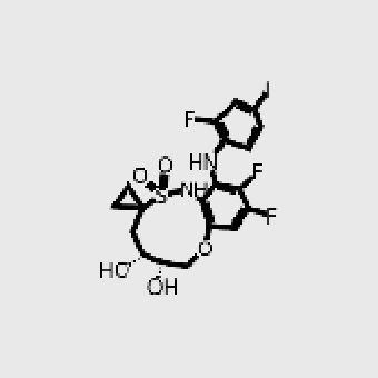 O=S1(=O)Nc2c(cc(F)c(F)c2Nc2ccc(I)cc2F)OC[C@H](O)[C@H](O)CC12CC2